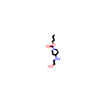 CCCCOC(=O)N1CCC(NCCO)CC1